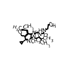 CC(C)C1CN(C2(C)N=C(C3CC3)C3=C(CC(C)(C)OC3)C2=N)CCN1C(=O)NCCO